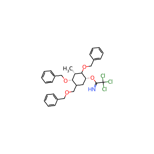 C[C@@H]1C(OCc2ccccc2)[C@H](OC(=N)C(Cl)(Cl)Cl)CC(COCc2ccccc2)[C@@H]1OCc1ccccc1